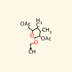 C#CCO[C@@H]1OC(COC(C)=O)[C@@H](C)[C@H](C)C1OC(C)=O